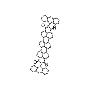 O=c1c2ccc3c4ccc5c6ccc7c(=O)n8c(nc9cccc%10cc%11ccccc%11c8c%109)c8ccc(c9ccc(c%10ccc(c2c3%10)c2nc3cccc%10cc%11ccccc%11c(c%103)n12)c4c59)c6c78